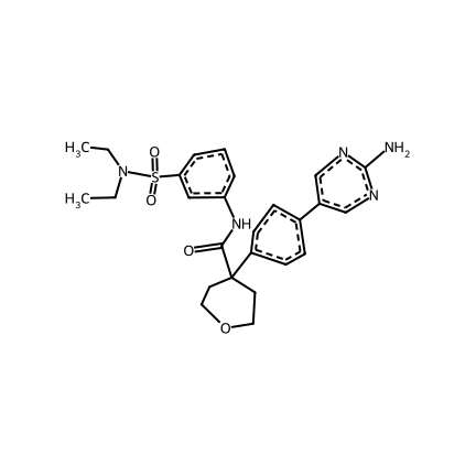 CCN(CC)S(=O)(=O)c1cccc(NC(=O)C2(c3ccc(-c4cnc(N)nc4)cc3)CCOCC2)c1